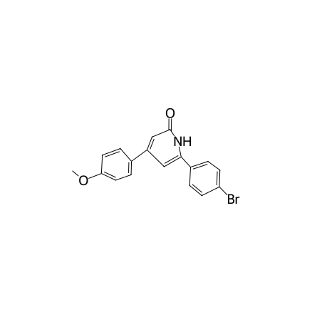 COc1ccc(-c2cc(-c3ccc(Br)cc3)[nH]c(=O)c2)cc1